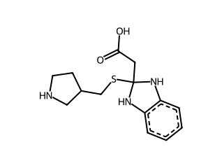 O=C(O)CC1(SCC2CCNC2)Nc2ccccc2N1